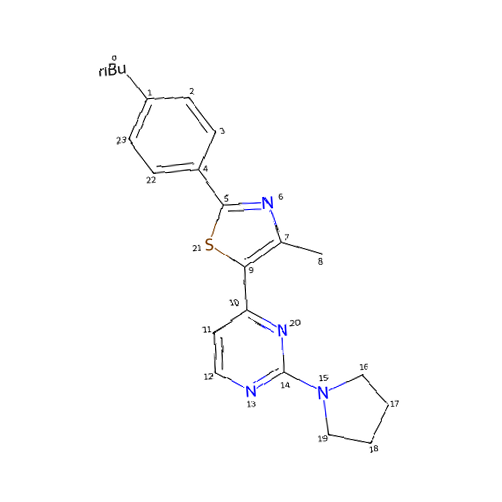 CCCCc1ccc(-c2nc(C)c(-c3ccnc(N4CCCC4)n3)s2)cc1